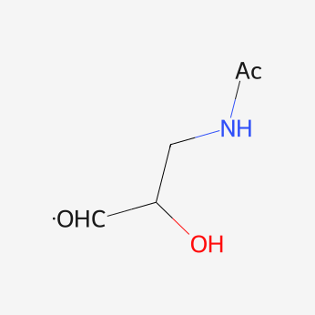 CC(=O)NCC(O)[C]=O